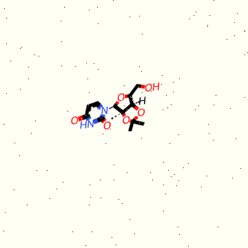 CC1(C)O[C@@H]2C(CO)O[C@@H](n3ccc(=O)[nH]c3=O)[C@]2(C)O1